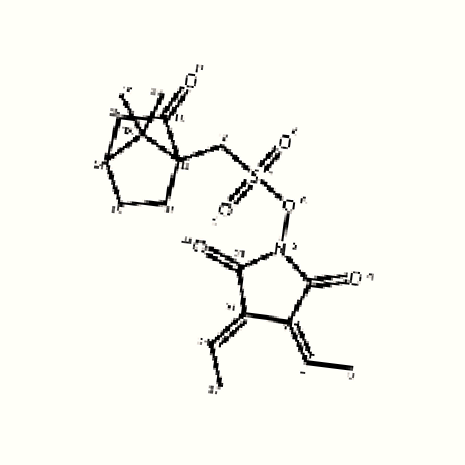 CC=C1C(=O)N(OS(=O)(=O)CC23CCC(CC2=O)C3(C)C)C(=O)/C1=C/C